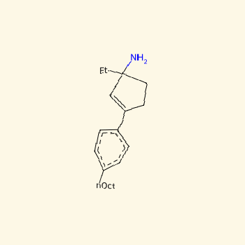 CCCCCCCCc1ccc(C2=CC(N)(CC)CC2)cc1